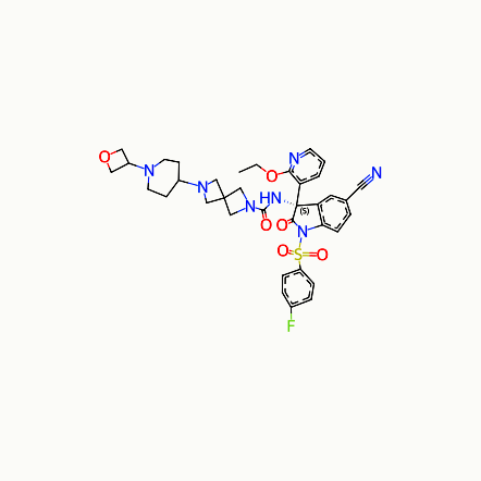 CCOc1ncccc1[C@]1(NC(=O)N2CC3(C2)CN(C2CCN(C4COC4)CC2)C3)C(=O)N(S(=O)(=O)c2ccc(F)cc2)c2ccc(C#N)cc21